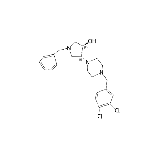 O[C@@H]1CN(Cc2ccccc2)C[C@H]1N1CCN(Cc2ccc(Cl)c(Cl)c2)CC1